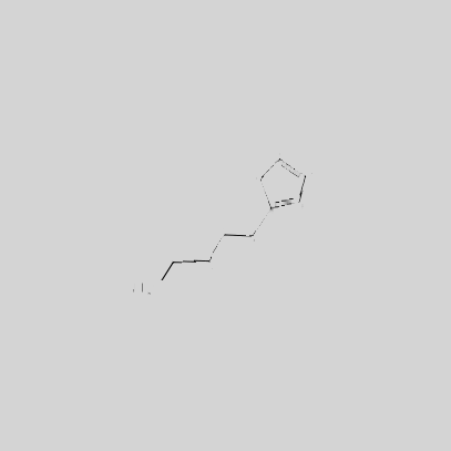 CCCCCC1=CC=[C]C1